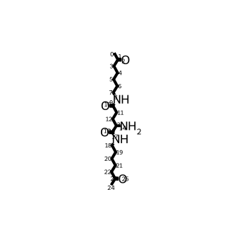 CC(=O)CCCCCNC(=O)CCC(N)C(=O)NCCCCCC(C)=O